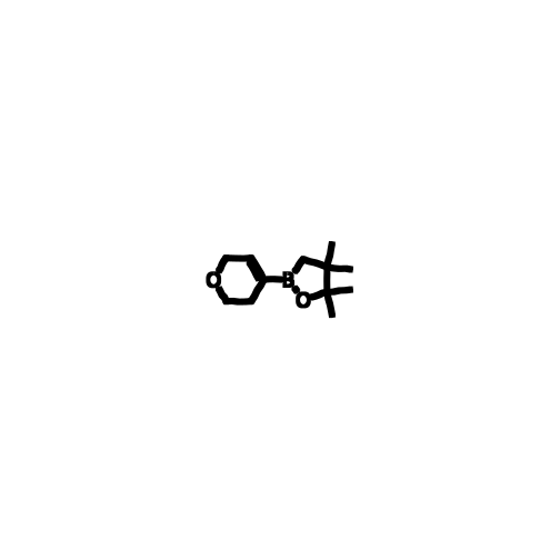 CC1(C)CB(C2=CCOCC2)OC1(C)C